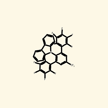 Fc1c(F)c(F)c(-c2cc(C(F)(F)F)cc(-c3c(F)c(F)c(F)c(F)c3F)c2-n2c3ccccc3c3ccccc32)c(F)c1F